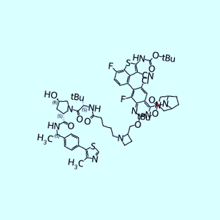 Cc1ncsc1-c1ccc([C@H](C)NC(=O)[C@@H]2C[C@@H](O)CN2C(=O)[C@@H](NC(=O)CCCCN2CCC2COc2nc(N3CC4CCC(C3)N4C(=O)OC(C)(C)C)c3cc(Cl)c(-c4ccc(F)c5sc(NC(=O)OC(C)(C)C)c(C#N)c45)c(F)c3n2)C(C)(C)C)cc1